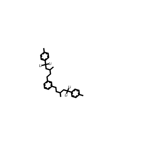 [Li][C]([Li])(CC(C)CCc1cccc(CCC(C)C[C]([Li])([Li])c2ccc(C)cc2)c1)c1ccc(C)cc1